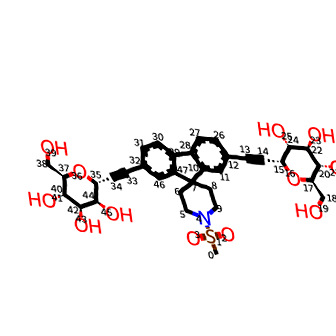 CS(=O)(=O)N1CCC2(CC1)c1cc(C#C[C@H]3O[C@H](CO)[C@@H](O)[C@H](O)[C@H]3O)ccc1-c1ccc(C#C[C@H]3O[C@H](CO)[C@@H](O)[C@H](O)[C@@H]3O)cc12